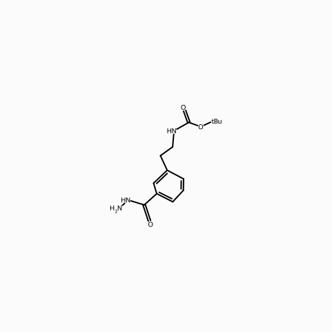 CC(C)(C)OC(=O)NCCc1cccc(C(=O)NN)c1